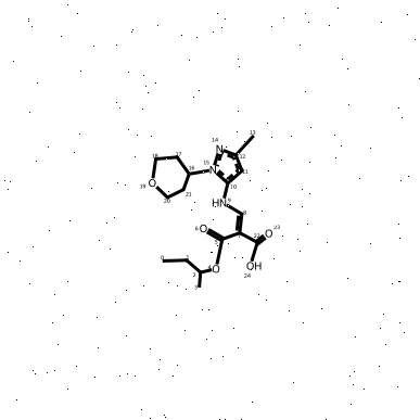 CCC(C)OC(=O)C(=CNc1cc(C)nn1C1CCOCC1)C(=O)O